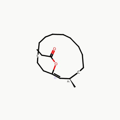 CCC(=O)O/C1=C\[C@H](C)CCCCCCCCCCCC1